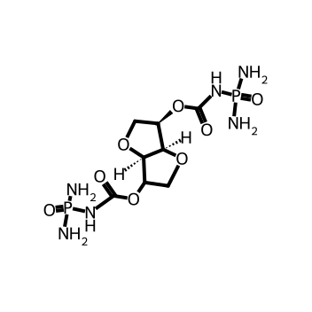 NP(N)(=O)NC(=O)OC1CO[C@H]2[C@@H]1OC[C@H]2OC(=O)NP(N)(N)=O